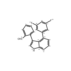 O=Cc1ccccc1-c1c[nH]c2nccc(-c3cc(F)cc(F)c3)c12